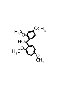 COC1=CC=C(C(O)c2ccc(OC)cc2OC)C(OC)=CC1